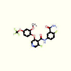 COc1cc(OC(F)(F)F)ccc1Oc1cncc(F)c1C(=O)Nc1ccc(F)c(C(N)=O)c1